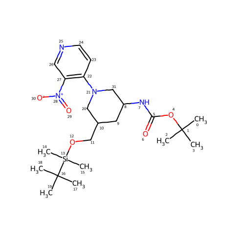 CC(C)(C)OC(=O)NC1CC(CO[Si](C)(C)C(C)(C)C)CN(c2ccncc2[N+](=O)[O-])C1